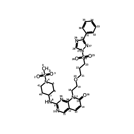 CS(=O)(=O)N1CCC(Nc2ncc3ccc(=O)n(CCOCCCS(=O)(=O)n4cnc(-c5ccccc5)n4)c3n2)CC1